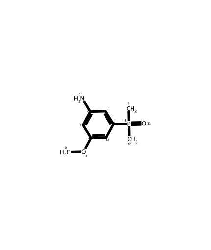 COc1cc(N)cc(P(C)(C)=O)c1